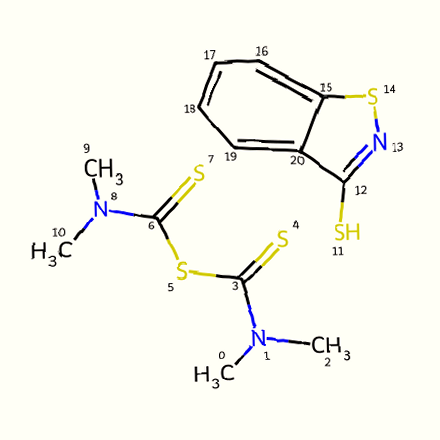 CN(C)C(=S)SC(=S)N(C)C.Sc1nsc2ccccc12